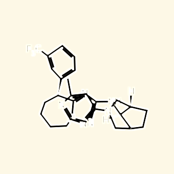 Cc1cc(N2CC3CC[C@@H](C2)[C@@H]3Nc2nc3n(n2)CCCC[C@H]3c2cccc(C(F)(F)F)c2)ncn1